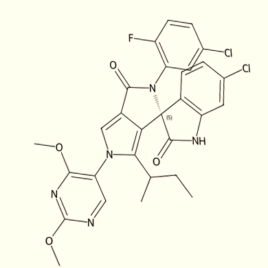 CCC(C)c1c2c(cn1-c1cnc(OC)nc1OC)C(=O)N(c1cc(Cl)ccc1F)[C@]21C(=O)Nc2cc(Cl)ccc21